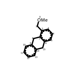 COCc1cccc2c1Cc1ccccc1C2